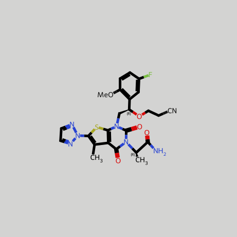 COc1ccc(F)cc1[C@H](Cn1c(=O)n([C@H](C)C(N)=O)c(=O)c2c(C)c(-n3nccn3)sc21)OCCC#N